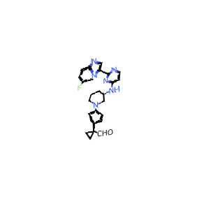 O=CC1(c2ccc(N3CCC[C@@H](Nc4ccnc(-c5cnc6ccc(F)cn56)n4)C3)cc2)CC1